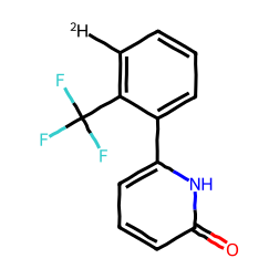 [2H]c1cccc(-c2cccc(=O)[nH]2)c1C(F)(F)F